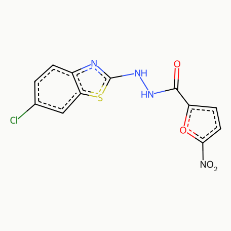 O=C(NNc1nc2ccc(Cl)cc2s1)c1ccc([N+](=O)[O-])o1